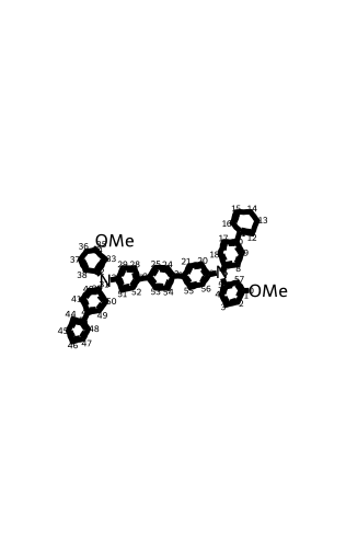 COc1cccc(N(c2ccc(C3=CCCC=C3)cc2)c2ccc(-c3ccc(-c4ccc(N(C5=CC(OC)CC=C5)c5ccc(-c6ccccc6)cc5)cc4)cc3)cc2)c1